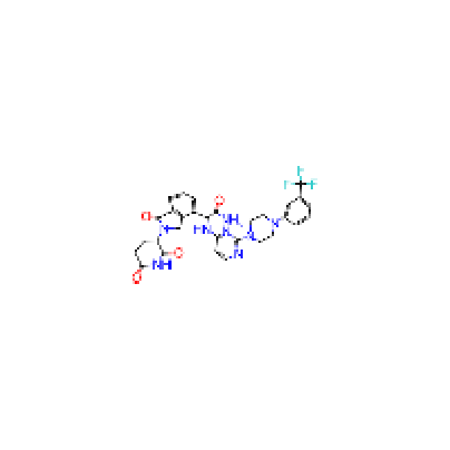 NC(=O)C(Nc1ccnc(N2CCN(c3cccc(C(F)(F)F)c3)CC2)n1)c1cccc2c1CN(C1CCC(=O)NC1=O)C2=O